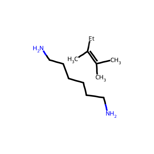 CCC(C)=C(C)C.NCCCCCCN